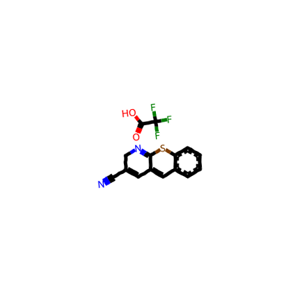 N#CC1=CC2=Cc3ccccc3SC2=NC1.O=C(O)C(F)(F)F